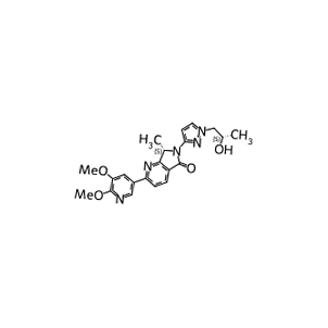 COc1cc(-c2ccc3c(n2)[C@H](C)N(c2ccn(C[C@H](C)O)n2)C3=O)cnc1OC